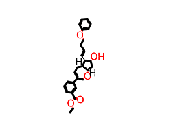 CCOC(=O)c1cccc(C2=CC[C@@H]3[C@@H](/C=C/CCOc4ccccc4)[C@H](O)C[C@@H]3OC2)c1